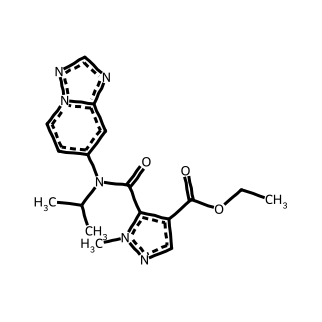 CCOC(=O)c1cnn(C)c1C(=O)N(c1ccn2ncnc2c1)C(C)C